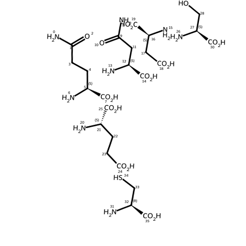 NC(=O)CC[C@H](N)C(=O)O.NC(=O)C[C@H](N)C(=O)O.N[C@@H](CC(=O)O)C(=O)O.N[C@@H](CCC(=O)O)C(=O)O.N[C@@H](CO)C(=O)O.N[C@@H](CS)C(=O)O